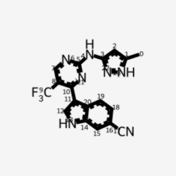 Cc1cc(Nc2ncc(C(F)(F)F)c(-c3c[nH]c4cc(C#N)ccc34)n2)n[nH]1